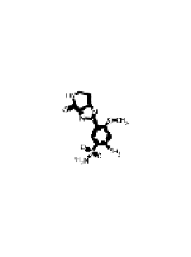 COc1cc(C)c(S(N)(=O)=O)cc1C1=NC2=CCNC(=O)C2=N1